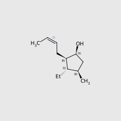 C/C=C\C[C@@H]1[C@@H](CC)[C@H](C)C[C@@H]1O